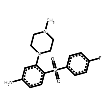 CN1CCN(c2cc(N)ccc2S(=O)(=O)c2ccc(F)cc2)CC1